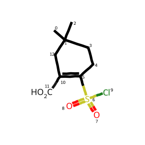 CC1(C)CCC(S(=O)(=O)Cl)=C(C(=O)O)C1